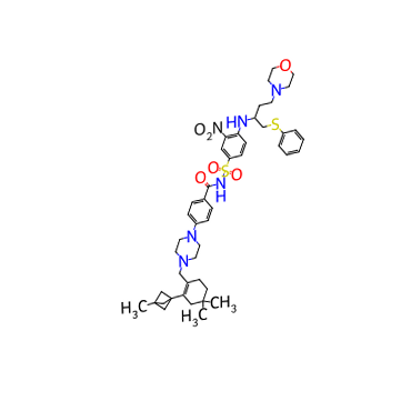 CC1(C)CCC(CN2CCN(c3ccc(C(=O)NS(=O)(=O)c4ccc(NC(CCN5CCOCC5)CSc5ccccc5)c([N+](=O)[O-])c4)cc3)CC2)=C(C23CC(C)(C2)C3)C1